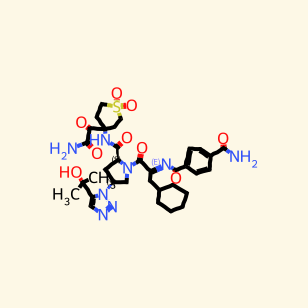 CC(C)(O)c1cnnn1[C@H]1C[C@@H](C(=O)NC2(C(=O)C(N)=O)CCS(=O)(=O)CC2)N(C(=O)/C(CC2CCCCC2)=N/C(=O)c2ccc(C(N)=O)cc2)C1